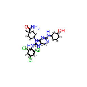 CC1(C(N)=O)CCC(n2c(Nc3c(Cl)cc(Cl)cc3Cl)nc3cnc(NC4CCC[C@@H](O)C4)nc32)CC1